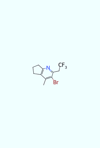 Cc1c(Br)c(CC(F)(F)F)nc2c1CCC2